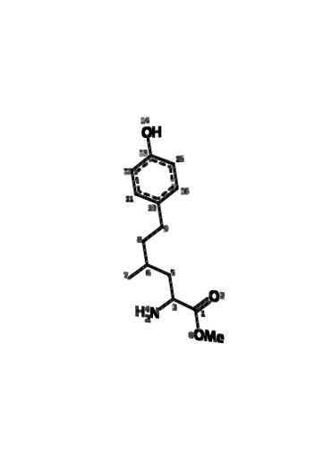 COC(=O)C(N)CC(C)CCc1ccc(O)cc1